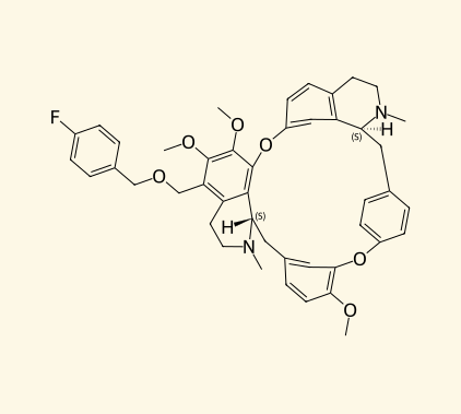 COc1ccc2cc1Oc1ccc(cc1)C[C@H]1c3cc(ccc3CCN1C)Oc1c(OC)c(OC)c(COCc3ccc(F)cc3)c3c1[C@H](C2)N(C)CC3